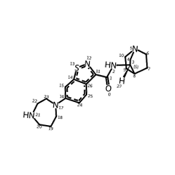 O=C(N[C@@H]1CN2CCC1CC2)c1nsc2cc(N3CCCNCC3)ccc12